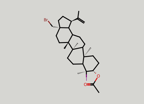 C=C(C)[C@@H]1CC[C@]2(CBr)CC[C@]3(C)C(CCC4[C@@]5(C)CC[C@H](OC(C)=O)[C@@](C)(I)C5CC[C@]43C)C12